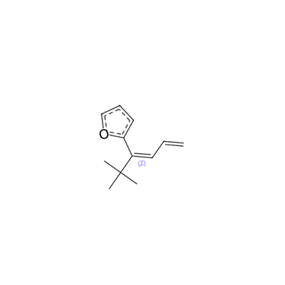 C=C/C=C(\c1ccco1)C(C)(C)C